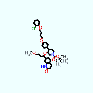 COCCCC(OC1CN(C(=O)OC(C)(C)C)CCC1c1ccc(OCCCCOc2ccccc2Cl)cc1)c1ccc2c(c1)NC(=O)CC2